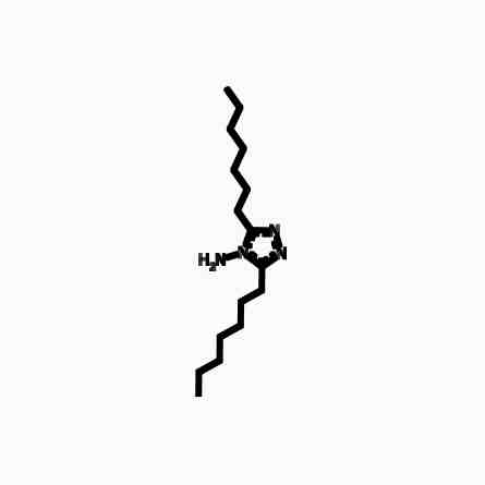 CCCCCCCc1nnc(CCCCCCC)n1N